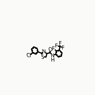 O=C(Nc1cccc(C(F)(F)F)c1F)C1CSC(c2cccc(Cl)c2)=N1